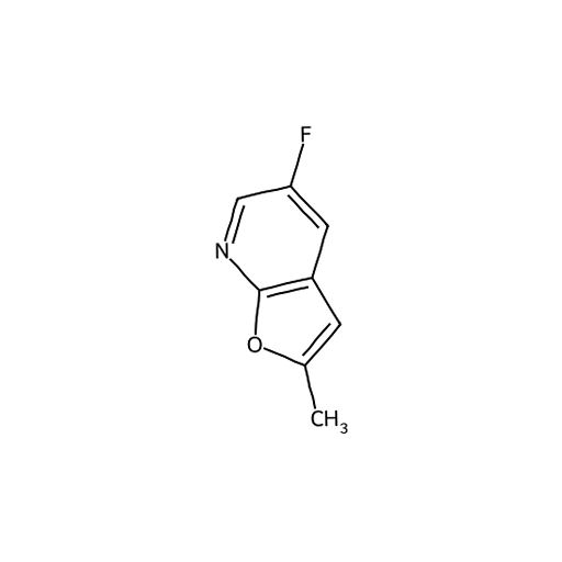 Cc1cc2cc(F)cnc2o1